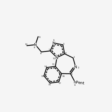 CCCCCC1=NCc2cnc(CN(C)C)n2-c2ccccc21